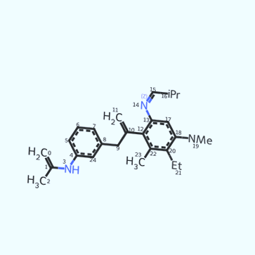 C=C(C)Nc1cccc(CC(=C)c2c(/N=C\C(C)C)cc(NC)c(CC)c2C)c1